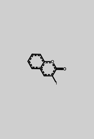 O=c1oc2ccccc2cc1I